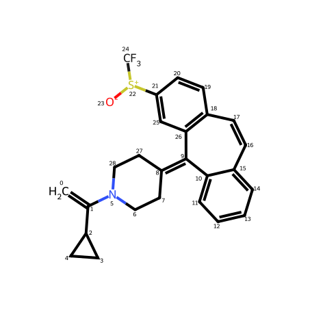 C=C(C1CC1)N1CCC(=C2c3ccccc3C=Cc3ccc([S+]([O-])C(F)(F)F)cc32)CC1